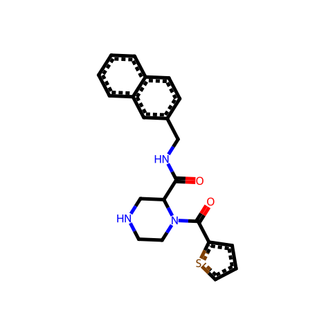 O=C(NCc1ccc2ccccc2c1)C1CNCCN1C(=O)c1cccs1